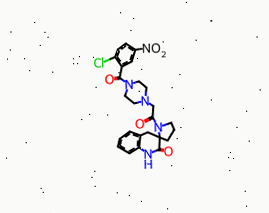 O=C(c1cc([N+](=O)[O-])ccc1Cl)N1CCN(CC(=O)N2CCCC23Cc2ccccc2NC3=O)CC1